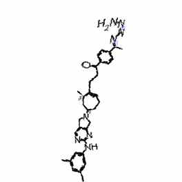 C/C(=N\N=N/N)c1ccc(C(=O)CCC2=CCC[C@@H](N3Cc4cnc(Nc5cc(C)cc(C)c5)nc4C3)C[C@H]2C)cc1